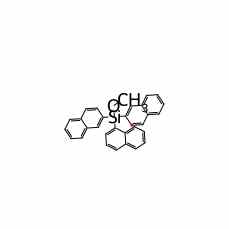 CO[Si](c1ccc2ccccc2c1)(c1ccc2ccccc2c1)c1cccc2ccccc12